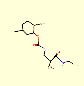 CSC(CNC(=O)OC1CC(C)CCC1C(C)C)C(=O)NCC#N